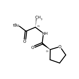 C[C@H](NC(=O)[C@@H]1CCCO1)C(=O)C(C)(C)C